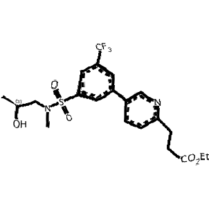 CCOC(=O)CCc1ccc(-c2cc(C(F)(F)F)cc(S(=O)(=O)N(C)C[C@H](C)O)c2)cn1